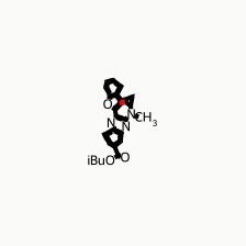 CC(C)COC(=O)c1ccc2nc(-c3cc4ccccc4o3)c(N(C)C3CC3)nc2c1